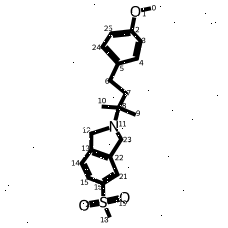 COc1ccc(CCC(C)(C)N2Cc3ccc(S(C)(=O)=O)cc3C2)cc1